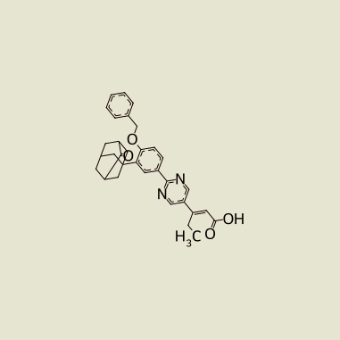 CC/C(=C\C(=O)O)c1cnc(-c2ccc(OCc3ccccc3)c(C34CC5CC(C3)C(=O)C(C5)C4)c2)nc1